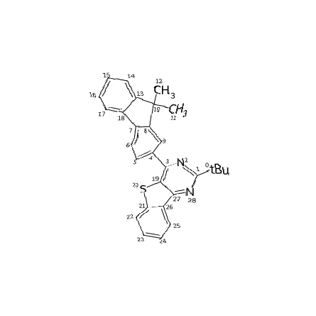 CC(C)(C)c1nc(-c2ccc3c(c2)C(C)(C)c2ccccc2-3)c2sc3ccccc3c2n1